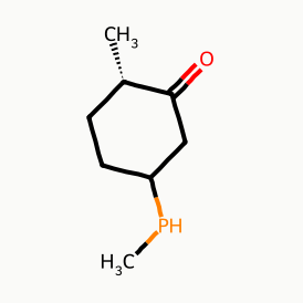 CPC1CC[C@H](C)C(=O)C1